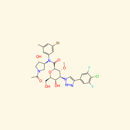 CO[C@@H]1[C@@H](n2cc(-c3cc(F)c(Cl)c(F)c3)nn2)[C@@H](O)[C@@H](CO)O[C@H]1C(=O)N(c1cc(C)cc(Br)c1)[C@H]1CN(C(C)=O)C[C@@H]1O